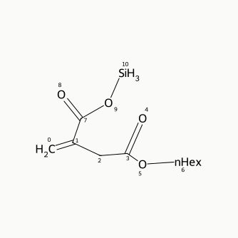 C=C(CC(=O)OCCCCCC)C(=O)O[SiH3]